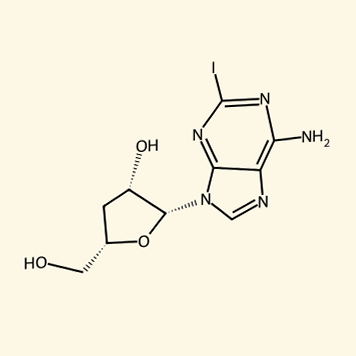 Nc1nc(I)nc2c1ncn2[C@@H]1O[C@H](CO)C[C@@H]1O